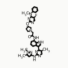 Cc1cnc(Nc2cc(C)n(C)n2)nc1-c1c[nH]c2c(NC(=O)CN3CC[C@H](Oc4ncc(F)c(N(C)c5ccccc5)n4)C3)cccc12